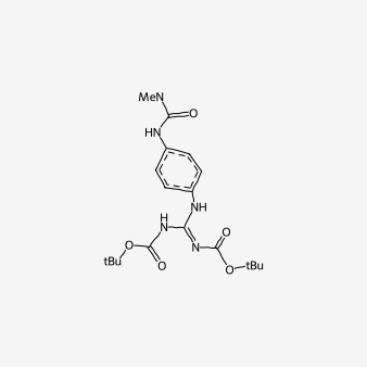 CNC(=O)Nc1ccc(N/C(=N\C(=O)OC(C)(C)C)NC(=O)OC(C)(C)C)cc1